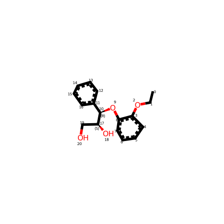 CCOc1ccccc1O[C@H](c1ccccc1)[C@@H](O)CO